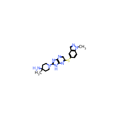 Cn1ncc2cc(Sc3cnc4nc(N5CCC(C)(N)CC5)[nH]c4n3)ccc21